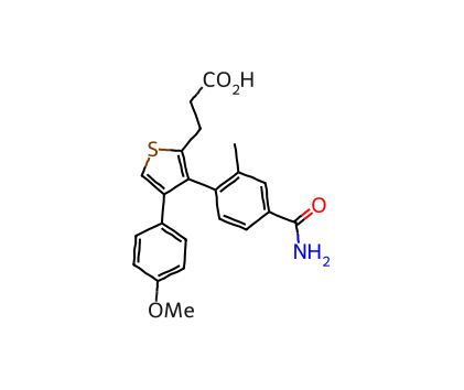 COc1ccc(-c2csc(CCC(=O)O)c2-c2ccc(C(N)=O)cc2C)cc1